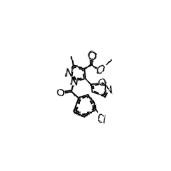 COC(=O)c1c(C)nn(C(=O)c2ccc(Cl)cc2)c1-c1ccno1